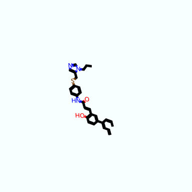 C=C/C=C(\C=C/C)c1ccc(O)c(/C=C/C(=O)Nc2ccc(SCc3cncn3CCC)cc2)c1